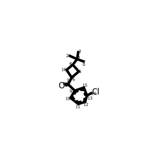 CC(C)(C)C1CC(C(=O)c2cccc(Cl)c2)C1